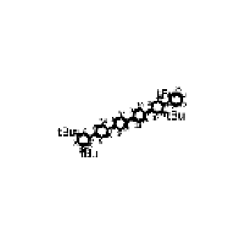 CC(C)(C)c1cc(-c2ccc(-c3ccc(-c4ccc(-c5cc(C(C)(C)C)c(-c6ccccc6)c(C(C)(C)C)c5)cc4)cc3)cc2)cc(C(C)(C)C)c1